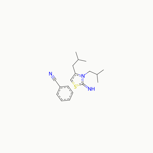 CC(C)Cc1csc(=N)n1CC(C)C.N#Cc1ccccc1